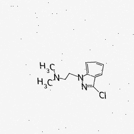 CN(C)CCn1nc(Cl)c2ccccc21